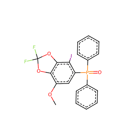 COc1cc(P(=O)(c2ccccc2)c2ccccc2)c(I)c2c1OC(F)(F)O2